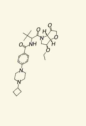 CCO[C@H]1CN(C(=O)C(NC(=O)c2ccc(N3CCN(C4CCC4)CC3)cc2)C(C)(C)C)[C@@H]2C(=O)CO[C@H]12